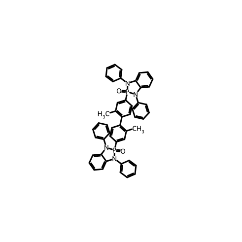 Cc1cc(P2(=O)N(c3ccccc3)c3ccccc3N2c2ccccc2)ccc1-c1ccc(P2(=O)N(c3ccccc3)c3ccccc3N2c2ccccc2)cc1C